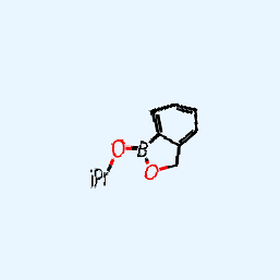 CC(C)OB1OCc2ccccc21